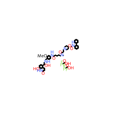 COc1cc(NC(=O)CCCCN(C)C(=O)CCN2CCC(OC(=O)Nc3ccccc3-c3ccccc3)CC2)ccc1CNC[C@H](O)c1ccc(O)c2[nH]c(=O)ccc12.O=C(O)C(F)(F)F.O=C(O)C(F)(F)F